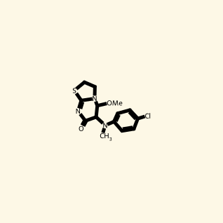 COC1C(N(C)c2ccc(Cl)cc2)C(=O)N=C2SCCN21